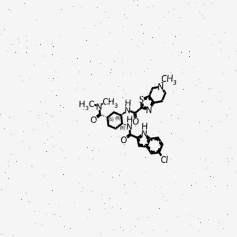 CN1CCc2nc(C(=O)N[C@@H]3C[C@@H](C(=O)N(C)C)CC[C@H]3NC(=O)c3cc4cc(Cl)ccc4[nH]3)sc2C1